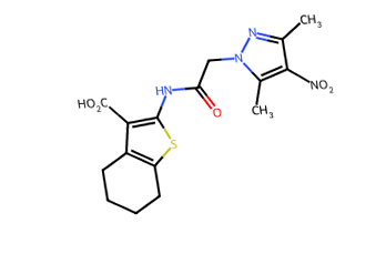 Cc1nn(CC(=O)Nc2sc3c(c2C(=O)O)CCCC3)c(C)c1[N+](=O)[O-]